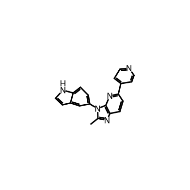 Cc1nc2ccc(-c3ccncc3)nc2n1-c1ccc2[nH]ccc2c1